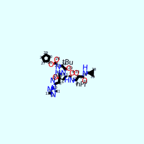 CCC[C@H](NC(=O)[C@@H]1C[C@]2(CC(n3cncn3)=NO2)CN1C(=O)[C@@H](NC(=O)OC1CCCC1)C(C)(C)C)C(=O)C(=O)NC1CC1